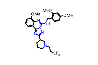 COc1ccc(CNc2nc3c(OC)cccc3c3nc(C4CCCN(CCC(F)(F)F)C4)nn23)c(OC)c1